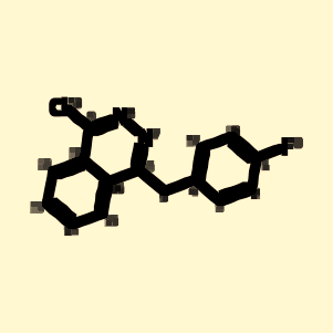 Fc1ccc(Cc2nnc(Cl)c3ccccc23)cc1